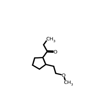 CCC(=O)C1CCCC1CCOC